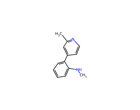 CNc1ccccc1-c1ccnc(C)c1